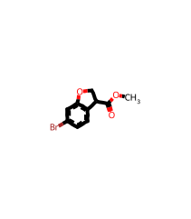 COC(=O)C1COc2cc(Br)ccc21